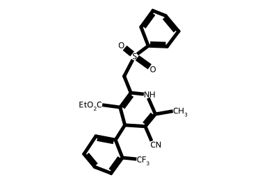 CCOC(=O)C1=C(CS(=O)(=O)c2ccccc2)NC(C)=C(C#N)C1c1ccccc1C(F)(F)F